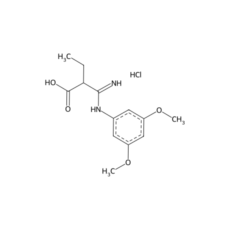 CCC(C(=N)Nc1cc(OC)cc(OC)c1)C(=O)O.Cl